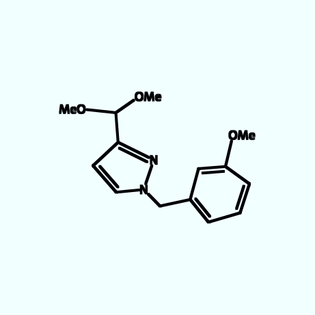 COc1cccc(Cn2ccc(C(OC)OC)n2)c1